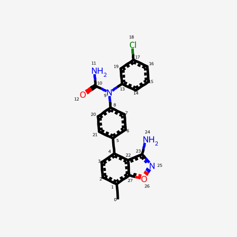 Cc1ccc(-c2ccc(N(C(N)=O)c3cccc(Cl)c3)cc2)c2c(N)noc12